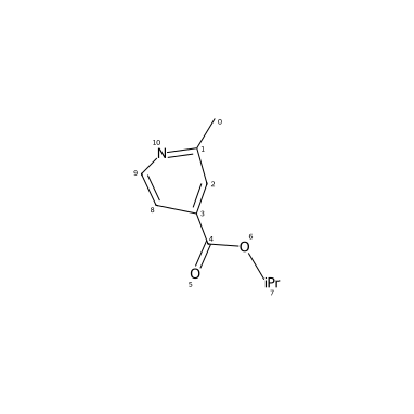 Cc1cc(C(=O)OC(C)C)ccn1